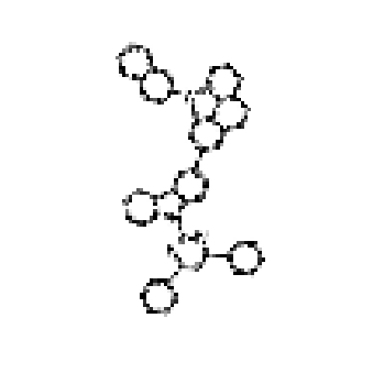 c1ccc(-c2cc(-c3ccccc3)nc(-n3c4ccccc4c4cc(-c5cc6ccc7cccc8c7c6c(c5)n8-c5ccc6ccccc6c5)ccc43)n2)cc1